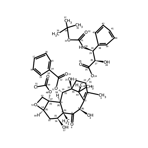 CC1=C2[C@@H](O)C(=O)[C@@]3(C)[C@H]([C@H](OC(=O)c4ccccc4)[C@](O)(C[C@@H]1OC(=O)[C@H](O)[C@@H](NC(=O)OC(C)(C)C)c1ccccc1)C2(C)C)[C@]1(OC(=O)Cl)CO[C@@H]1C[C@@H]3O